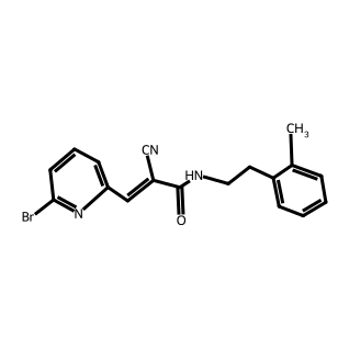 Cc1ccccc1CCNC(=O)/C(C#N)=C/c1cccc(Br)n1